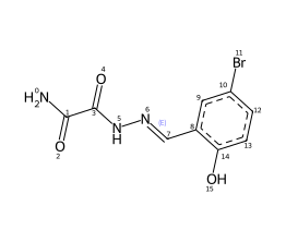 NC(=O)C(=O)N/N=C/c1cc(Br)ccc1O